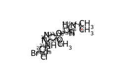 CCC(C)CN1C[C@H]2C[C@H](COc3cc4ncnc(Nc5ccc(Br)c(Cl)c5F)c4cc3OC)C[C@H]2C1